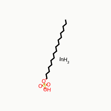 CCCCCCCCCCCCCCCCCCOS(=O)(=O)O.[InH3]